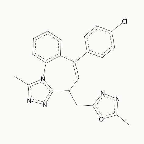 Cc1nnc(CC2C=C(c3ccc(Cl)cc3)c3ccccc3-n3c(C)nnc32)o1